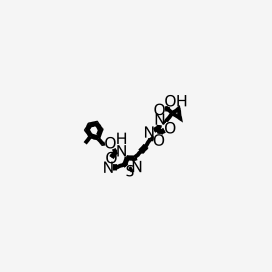 Cc1ccccc1COC(=O)Nc1c(C#Cc2nc3nc(C4(C(=O)O)CC4)oc3o2)nsc1C#N